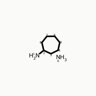 N.NC1CCCCCC1